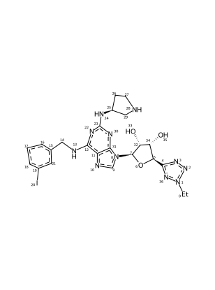 CCn1nnc([C@H]2O[C@@H](n3cnc4c(NCc5cccc(I)c5)nc(N[C@H]5CCNC5)nc43)[C@H](O)[C@@H]2O)n1